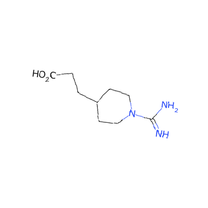 N=C(N)N1CCC(CCC(=O)O)CC1